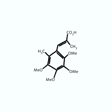 COc1c(C)c(C=C(C)C(=O)O)c(OC)c(OC)c1OC